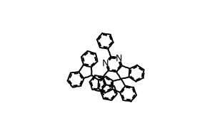 c1ccc(-c2nc3c(c(-c4cccc5ccccc45)n2)C2(c4ccccc4-c4ccc(C5c6ccccc6-c6ccccc65)cc42)c2ccccc2-3)cc1